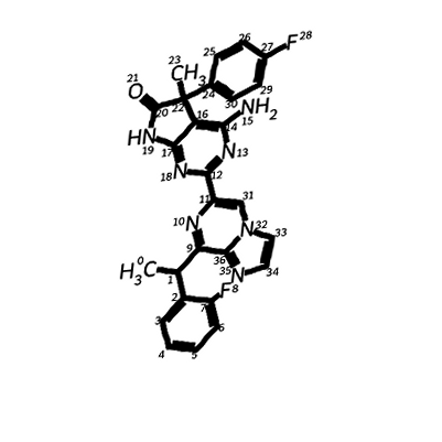 CC(c1ccccc1F)c1nc(-c2nc(N)c3c(n2)NC(=O)C3(C)c2ccc(F)cc2)cn2ccnc12